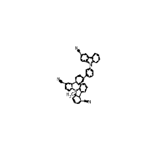 CC12C=CC=C(C#N)C1c1ccccc1N2c1ccc(C#N)cc1-c1ccc(-c2cccc(-n3c4ccccc4c4cc(C#N)ccc43)c2)cc1